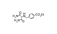 CCOC(=O)c1ccc(CNC(C(N)=O)C(N)=O)cc1